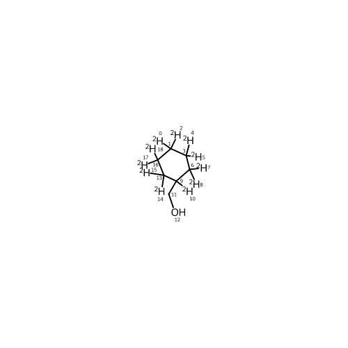 [2H]C1([2H])C([2H])([2H])C([2H])([2H])C([2H])(CO)C([2H])([2H])C1([2H])[2H]